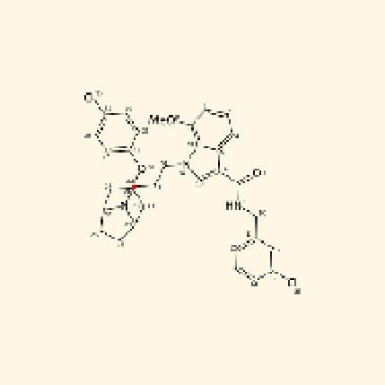 COc1cccc2c(C(=O)NCc3cccc(Cl)c3)cn(CCCN3C4CCC3CC(Oc3ccc(Cl)cc3)C4)c12